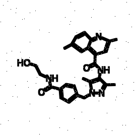 Cc1ccc2nc(C)cc(C(=O)Nc3c(C)nn(Cc4ccc(C(=O)NCCO)cc4)c3C)c2c1